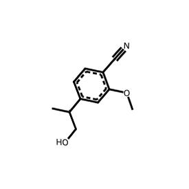 COc1cc([C](C)CO)ccc1C#N